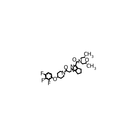 C[C@@H]1CN(C(=O)c2nn(CC(=O)N3CCC(Oc4ccc(F)c(F)c4F)CC3)c3c2CCC3)C[C@H](C)O1